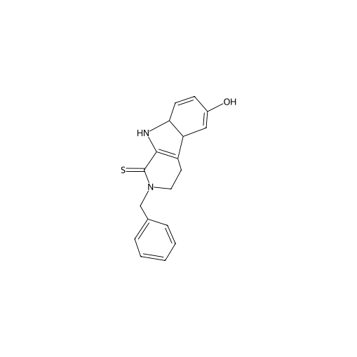 OC1=CC2C3=C(NC2C=C1)C(=S)N(Cc1ccccc1)CC3